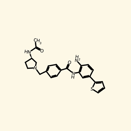 CC(=O)N[C@@H]1CCN(Cc2ccc(C(=O)Nc3cc(-c4cccs4)ccc3N)cc2)C1